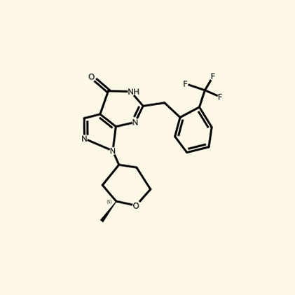 C[C@H]1CC(n2ncc3c(=O)[nH]c(Cc4ccccc4C(F)(F)F)nc32)CCO1